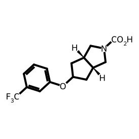 O=C(O)N1C[C@H]2CC(Oc3cccc(C(F)(F)F)c3)C[C@H]2C1